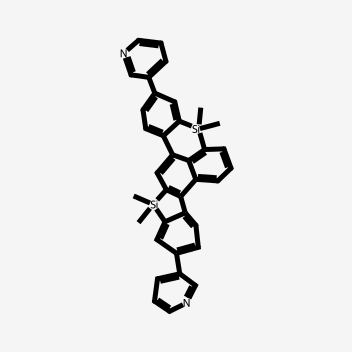 C[Si]1(C)c2cc(-c3cccnc3)ccc2-c2c1cc1c3c(cccc23)[Si](C)(C)c2cc(-c3cccnc3)ccc2-1